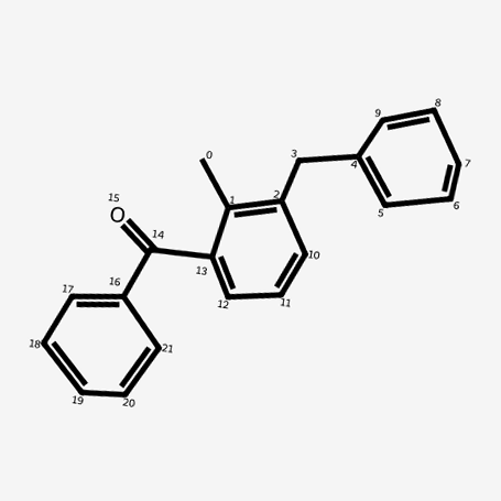 Cc1c(Cc2ccccc2)cccc1C(=O)c1ccccc1